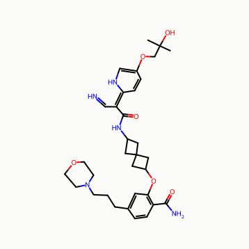 CC(C)(O)COC1=CN/C(=C(\C=N)C(=O)NC2CC3(C2)CC(Oc2cc(CCCN4CCOCC4)ccc2C(N)=O)C3)C=C1